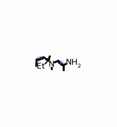 C/C=C\[C@@](C)(CC)N(C)/C=C(\C)N